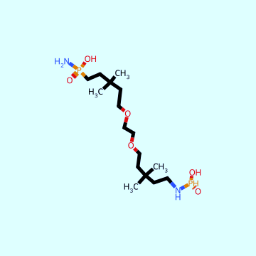 CC(C)(CCN[PH](=O)O)CCOCCOCCC(C)(C)CCP(N)(=O)O